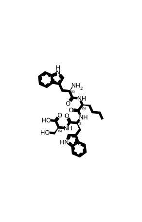 CCCC[C@H](NC(=O)[C@@H](N)Cc1c[nH]c2ccccc12)C(=O)N[C@@H](Cc1c[nH]c2ccccc12)C(=O)N[C@@H](CO)C(=O)O